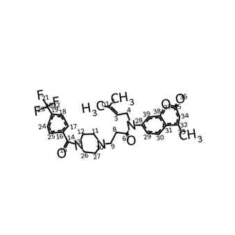 CC(C)=CCN(C(=O)CCN1CCN(C(=O)c2ccc(C(F)(F)F)cc2)CC1)c1ccc2c(C)cc(=O)oc2c1